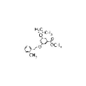 COC(=O)c1cc(OCCc2ccccc2C)cc(OC(C)C)c1